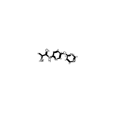 CC(Br)C(=O)Nc1ccc(Oc2ccncn2)cn1